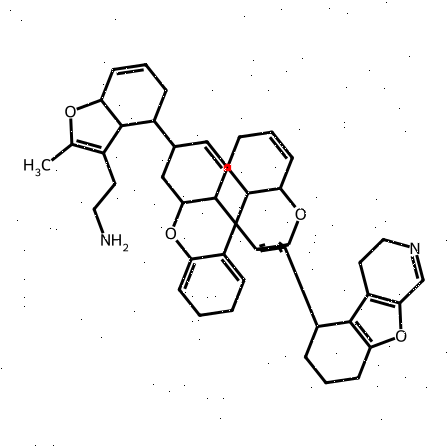 CC1=C(CCN)C2C(C=CCC2C2C=CC3C(C2)OC2=CCCC=C2C32C3C=CC(C4CCCc5oc6c(c54)CCN=C6)=CC3OC3C=CCCC32)O1